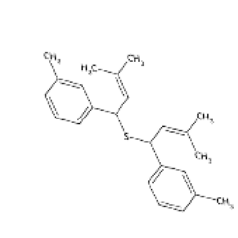 CC(C)=CC(SC(C=C(C)C)c1cccc(C)c1)c1cccc(C)c1